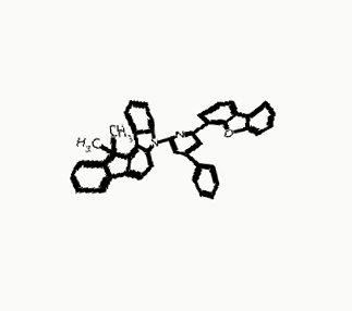 CC1(C)c2ccccc2-c2ccc3c(c21)c1ccccc1n3-c1cc(-c2ccccc2)cc(-c2cccc3c2oc2ccccc23)n1